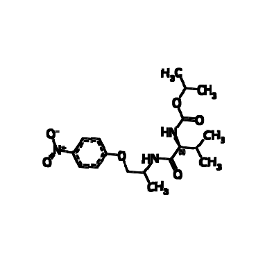 CC(COc1ccc([N+](=O)[O-])cc1)NC(=O)[C@@H](NC(=O)OC(C)C)C(C)C